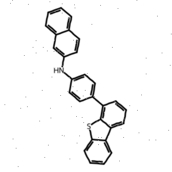 c1ccc2cc(Nc3ccc(-c4cccc5c4sc4ccccc45)cc3)ccc2c1